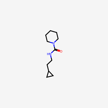 O=C(NCCC1CC1)N1CCCCC1